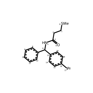 CSCCC(=O)NC(c1ccccc1)c1ccc(C(C)C)cc1